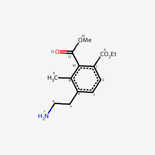 CCOC(=O)c1ccc(CCN)c(C)c1C(=O)OC